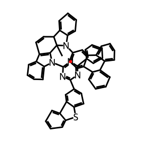 CC12c3c(c4ccccc4n3-c3nc(-c4ccccc4)nc(-c4ccc5sc6ccccc6c5c4)n3)C=CC1c1ccccc1N2c1ccc2c3ccccc3c3ccccc3c2c1